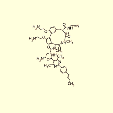 CC/C=C/c1ccc(-c2nc(C)c(C(=O)N[C@@H](CCN)C(=O)N(C)[C@@H]3C(=O)N[C@@H](C)C(=O)N[C@H](C(=O)NCC#N)Cc4ccc(OCCN)c(c4)-c4cc3ccc4OCCN)c(C)n2)cc1